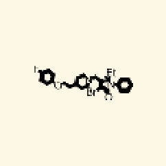 CCn1c(CN2CCC(CCOc3ccc(F)cc3)CC2)c(Br)c(=O)n1-c1ccccc1